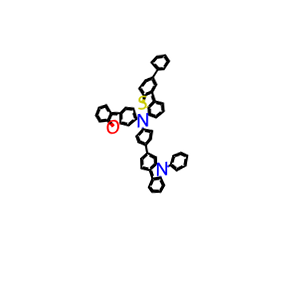 c1ccc(-c2ccc3sc4c(N(c5ccc(-c6ccc7c8ccccc8n(-c8ccccc8)c7c6)cc5)c5ccc6c(c5)oc5ccccc56)cccc4c3c2)cc1